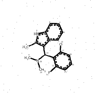 Cc1[nH]c2ccccc2c1C(c1c(F)cccc1Cl)N(C)C